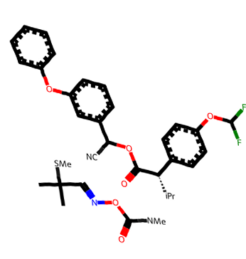 CC(C)[C@H](C(=O)OC(C#N)c1cccc(Oc2ccccc2)c1)c1ccc(OC(F)F)cc1.CNC(=O)O/N=C/C(C)(C)SC